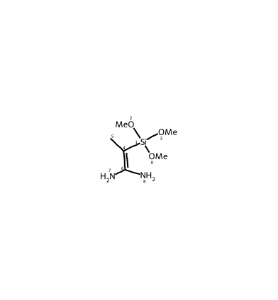 CO[Si](OC)(OC)C(C)=C(N)N